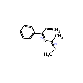 C=C/C(=N\C(C)=N/C)c1ccccc1